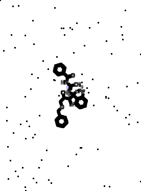 CCCC(C(C)COCc1ccccc1)C(CCC)(/N=C(\C)NC(=O)c1ccccc1)c1ccccc1F